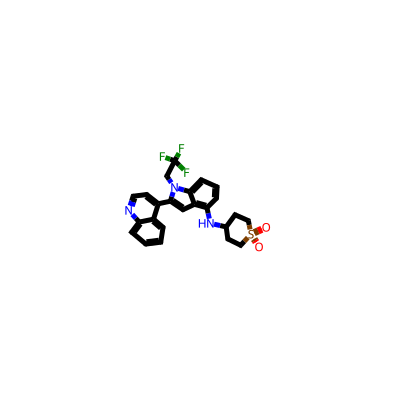 O=S1(=O)CCC(Nc2cccc3c2cc(-c2ccnc4ccccc24)n3CC(F)(F)F)CC1